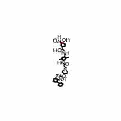 Cc1cc(NC(=O)CCN2CCC(OC(=O)Nc3c(F)cccc3-c3ccccc3)CC2)c(C)cc1CNCC(O)c1ccc(O)c(NC=O)c1